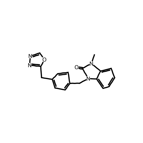 Cn1c(=O)n(Cc2ccc(Cc3nnco3)cc2)c2ccccc21